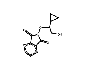 O=C1c2ccccc2C(=O)N1OC(CO)C1CC1